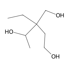 CCC(CO)(CCO)C(C)O